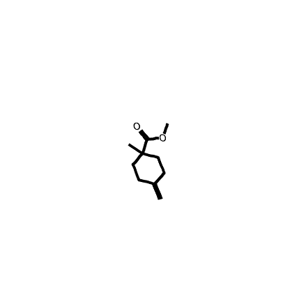 C=C1CCC(C)(C(=O)OC)CC1